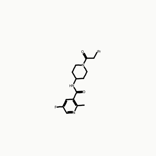 Cc1ncc(F)cc1C(=O)NC1CCN(C(=O)CC(C)C)CC1